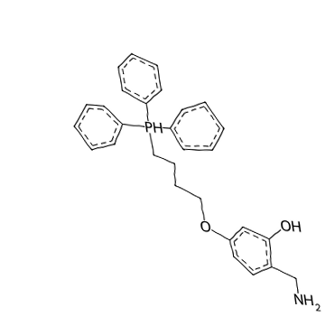 NCc1ccc(OCCCC[PH](c2ccccc2)(c2ccccc2)c2ccccc2)cc1O